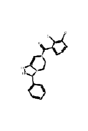 O=C(c1cccc(Cl)c1Cl)N1C=C2NNC(c3ccccc3)N2CC1